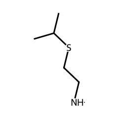 CC(C)SCC[NH]